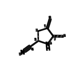 C=C1CC(C#N)NC1=C